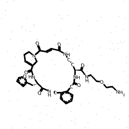 NCCOCCNC(=O)[C@@H]1CCNC(=O)/C=C/C(=O)N2CCC=C(C2)C(=O)N[C@@H](Cc2ccco2)C(=O)NCc2ccccc2CC(=O)N1